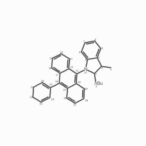 CCCCC1C(C)c2ccccc2N1c1c2ccccc2c(C2=CCCC=C2)c2ccccc12